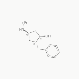 CCCN[C@@H]1C[C@@H](Cc2ccccc2)[C@H](O)C1